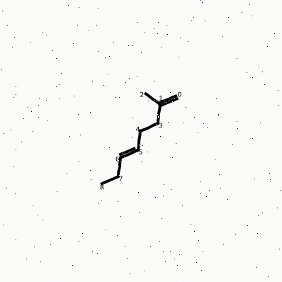 C=C(C)CCC=CCC